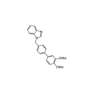 COc1ccc(-c2ccc(Cn3cnc4ccccc43)cc2)cc1OC